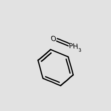 O=[PH3].c1ccccc1